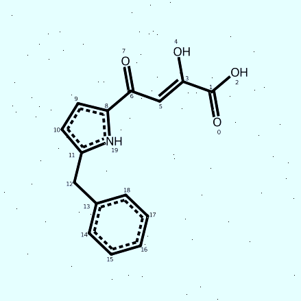 O=C(O)C(O)=CC(=O)c1ccc(Cc2ccccc2)[nH]1